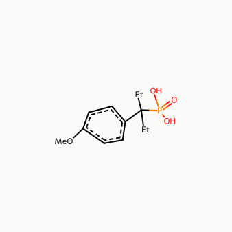 CCC(CC)(c1ccc(OC)cc1)P(=O)(O)O